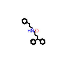 O=C(CCC(c1ccccc1)c1ccccc1)NCCCc1ccccc1